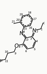 CC/N=C1\C=CC=C(OCCCO)\C1=N\c1ccccc1C